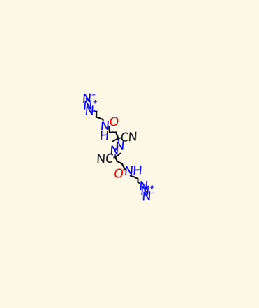 CC(C#N)(CCC(=O)NCCCN=[N+]=[N-])/N=N/C(C)(C#N)CCC(=O)NCCCN=[N+]=[N-]